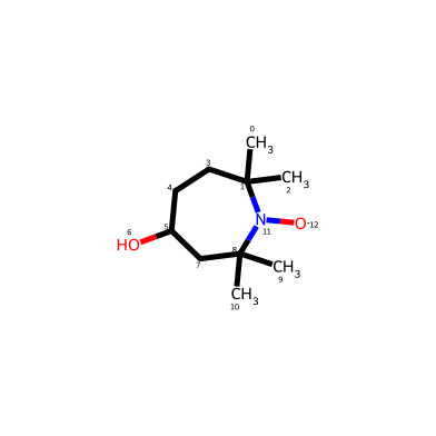 CC1(C)CCC(O)CC(C)(C)N1[O]